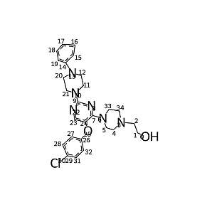 OCCN1CCN(c2nc(N3CCN(c4ccccc4)CC3)ncc2Oc2ccc(Cl)cc2)CC1